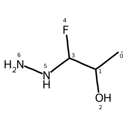 [CH2]C(O)C(F)NN